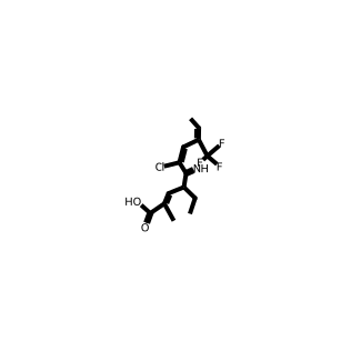 C/C=C(\C=C(\Cl)C(=N)C(/C=C(\C)C(=O)O)CC)C(F)(F)F